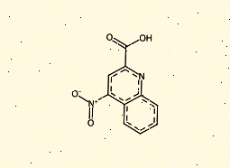 O=C(O)c1cc([N+](=O)[O-])c2ccccc2n1